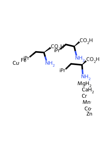 CC(C)C[C@H](N)C(=O)O.CC(C)C[C@H](N)C(=O)O.CC(C)C[C@H](N)C(=O)O.[CaH2].[Co].[Cr].[Cu].[Fe].[MgH2].[Mn].[Zn]